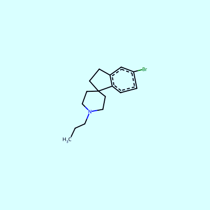 CCCN1CCC2(CCc3cc(Br)ccc32)CC1